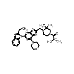 CCc1nc2ccccc2n1-c1nc(N2CCOCC2)c2nc(CN3CCN(C(=O)[C@H](C)O)CC3(C)C)sc2n1